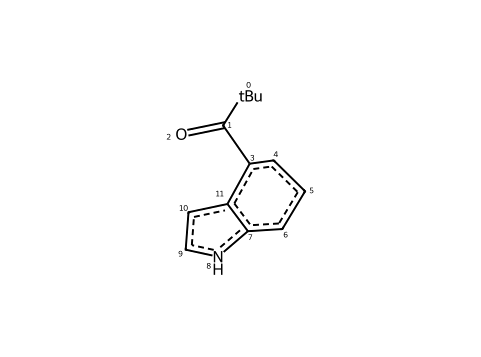 CC(C)(C)C(=O)c1cccc2[nH]ccc12